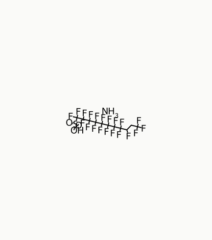 N.O=S(=O)(O)C(F)(F)C(F)(F)C(F)(F)C(F)(F)C(F)(F)C(F)(F)C(F)(F)C(F)(F)C(F)CC(F)(F)F